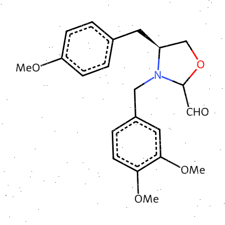 COc1ccc(C[C@H]2COC(C=O)N2Cc2ccc(OC)c(OC)c2)cc1